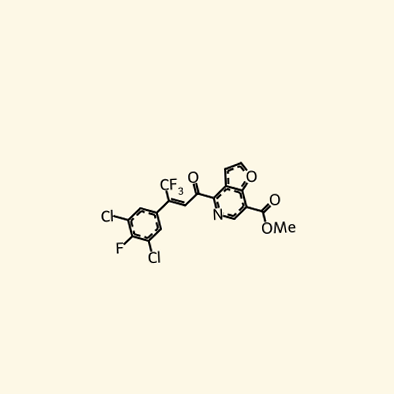 COC(=O)c1cnc(C(=O)/C=C(/c2cc(Cl)c(F)c(Cl)c2)C(F)(F)F)c2ccoc12